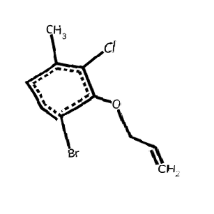 C=CCOc1c(Br)ccc(C)c1Cl